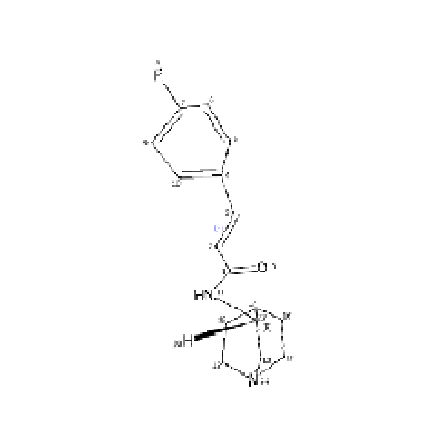 O=C(/C=C/c1ccc(F)cc1)N[C@H]1CN2CCC1CC2